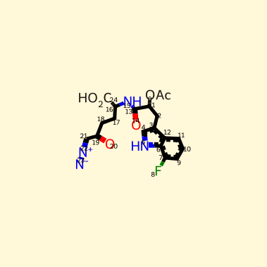 CC(=O)OC(Cc1c[nH]c2c(F)cccc12)C(=O)NC(CCC(=O)C=[N+]=[N-])C(=O)O